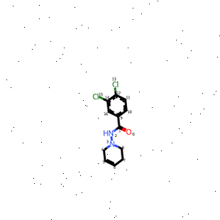 O=C(NN1CC=CCC1)c1ccc(Cl)c(Cl)c1